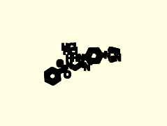 Cl.Cl.O=S(=O)(NCc1nc2cc(-n3ccnc3)ccc2[nH]1)c1ccccc1